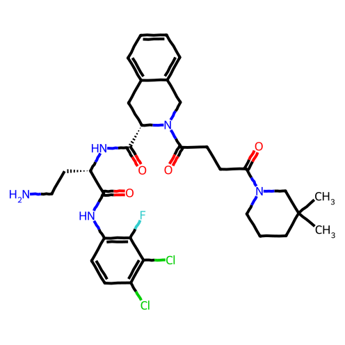 CC1(C)CCCN(C(=O)CCC(=O)N2Cc3ccccc3C[C@H]2C(=O)N[C@@H](CCN)C(=O)Nc2ccc(Cl)c(Cl)c2F)C1